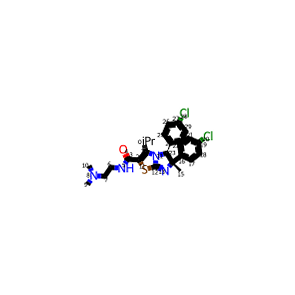 CC(C)C1=C(C(=O)NCCN(C)C)SC2=N[C@@](C)(c3ccc(Cl)cc3)[C@@H](c3ccc(Cl)cc3)N21